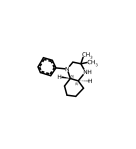 CC1(C)CN(c2ccccc2)[C@H]2CCCC[C@@H]2N1